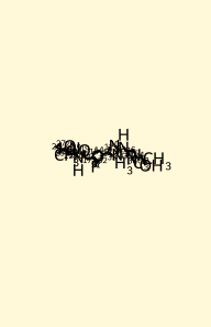 CC(C)(O)Cn1cc(Nc2ncc(-c3ccc(CC(=O)Nc4cc(C5(C(F)(F)F)CC5)on4)c(F)c3)cn2)cn1